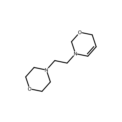 C1=CN(CCN2CCOCC2)COC1